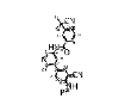 Cc1ncc(NC(=O)c2ccnc(C(C)(C)C#N)c2)cc1-c1cnc(NC(C)C)c(C#N)c1